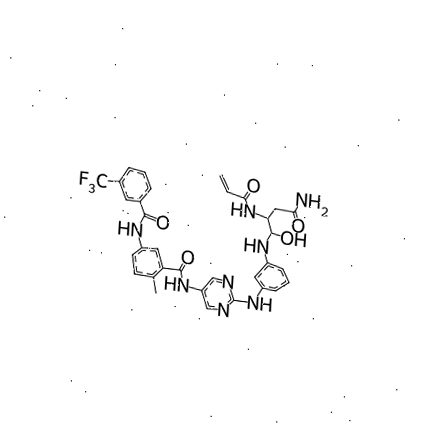 C=CC(=O)NC(CC(N)=O)C(O)Nc1cccc(Nc2ncc(NC(=O)c3cc(NC(=O)c4cccc(C(F)(F)F)c4)ccc3C)cn2)c1